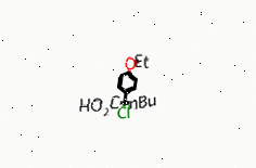 CCCCC(Cl)(C(=O)O)c1ccc(OCC)cc1